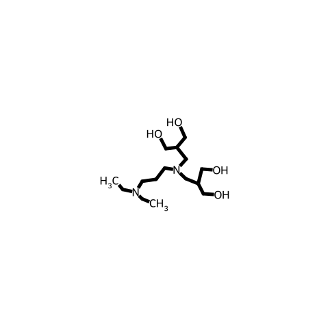 CCN(CC)CCCN(CC(CO)CO)CC(CO)CO